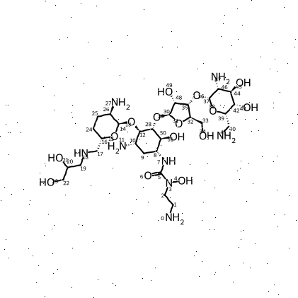 NCCN(O)C(=O)N[C@@H]1C[C@H](N)[C@@H](O[C@H]2O[C@H](CNCC(O)CO)CC[C@H]2N)[C@H](O[C@@H]2O[C@H](CO)[C@@H](O[C@H]3O[C@@H](CN)[C@@H](O)[C@H](O)[C@H]3N)[C@H]2O)[C@H]1O